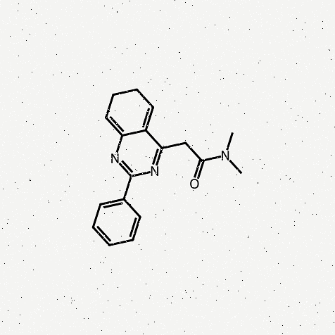 CN(C)C(=O)Cc1nc(-c2ccccc2)nc2c1=CCCC=2